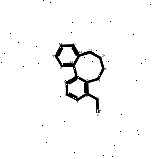 BrCc1cccc2c1CCCCc1ccccc1-2